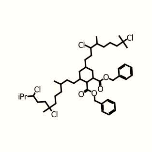 CC(CCCC(C)(Cl)CCC(Cl)C(C)C)CCC1CC(CCC(Cl)C(C)CCCC(C)(C)Cl)CC(C(=O)OCc2ccccc2)C1C(=O)OCc1ccccc1